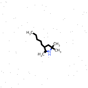 C=C1NC(C)(C)CC1CCCCC